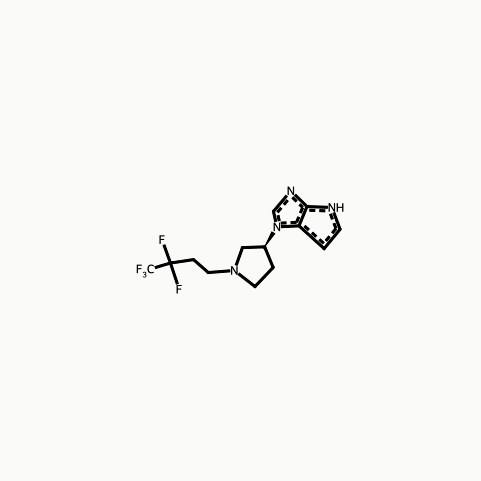 FC(F)(F)C(F)(F)CCN1CC[C@H](n2cnc3[nH]ccc32)C1